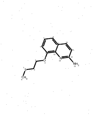 CSCCOc1cccc2ccc(N)nc12